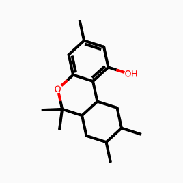 Cc1cc(O)c2c(c1)OC(C)(C)C1CC(C)C(C)CC21